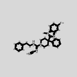 Cn1c(C2(c3ccccc3)CCN(/C(=N/C#N)NCCc3ccccc3)CC2)nc2cc(F)ccc21